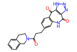 O=C(CCc1ccc2c(=O)c3[nH]nnc3c(=O)[nH]c2c1)N1CCc2ccccc2C1